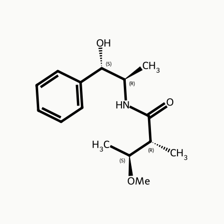 CO[C@@H](C)[C@@H](C)C(=O)N[C@H](C)[C@@H](O)c1ccccc1